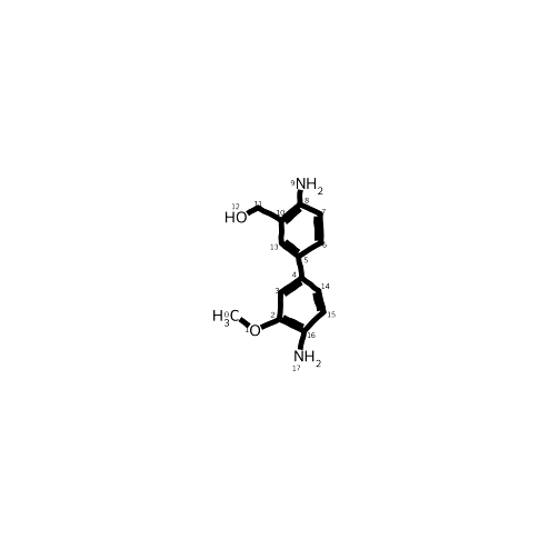 COc1cc(-c2ccc(N)c(CO)c2)ccc1N